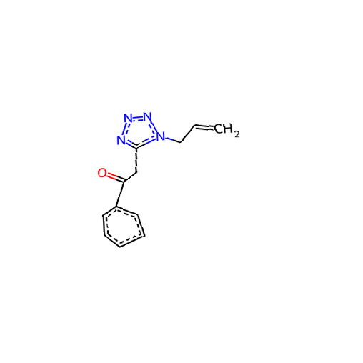 C=CCn1nnnc1CC(=O)c1ccccc1